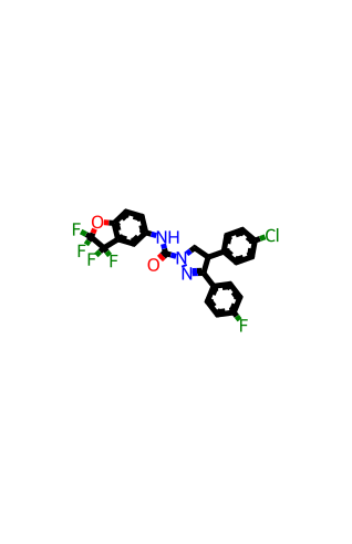 O=C(Nc1ccc2c(c1)C(F)(F)C(F)(F)O2)N1CC(c2ccc(Cl)cc2)C(c2ccc(F)cc2)=N1